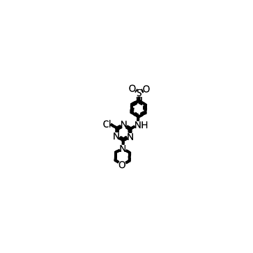 O=[SH](=O)c1ccc(Nc2nc(Cl)nc(N3CCOCC3)n2)cc1